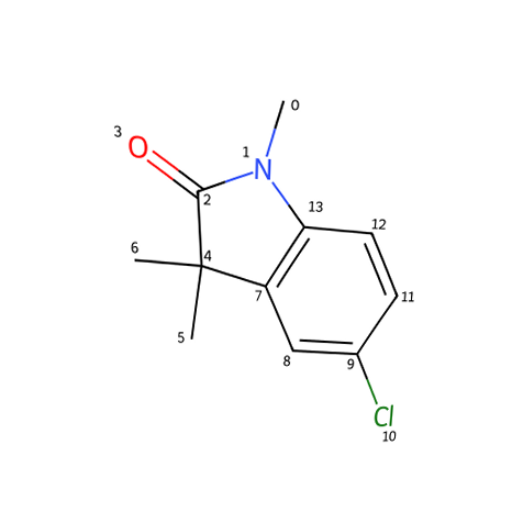 CN1C(=O)C(C)(C)c2cc(Cl)ccc21